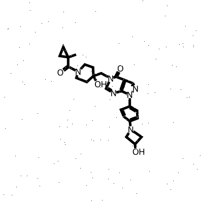 CC1(C(=O)N2CCC(O)(Cn3cnc4c(cnn4-c4ccc(N5CC(O)C5)cc4)c3=O)CC2)CC1